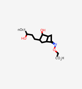 CCCCCCCCC(O)CCC1CC2C(=NOCC(=O)O)CC2C1O